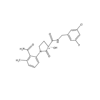 Cc1cccc(N2CC[C@@](O)(C(=O)NCc3cc(F)cc(Cl)c3)C2=O)c1C(N)=O